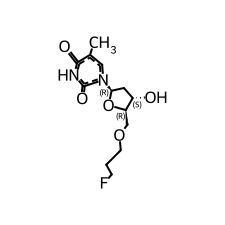 Cc1cn([C@H]2C[C@H](O)[C@@H](COCCCF)O2)c(=O)[nH]c1=O